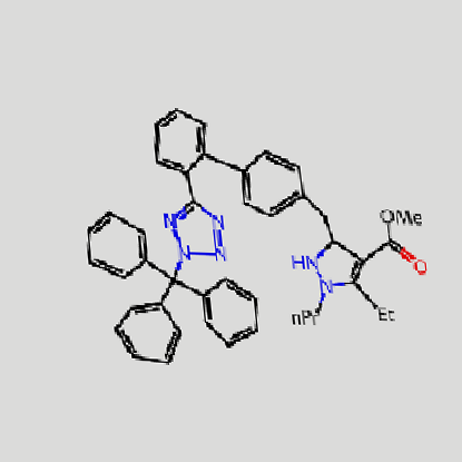 CCCN1NC(Cc2ccc(-c3ccccc3-c3nnn(C(c4ccccc4)(c4ccccc4)c4ccccc4)n3)cc2)C(C(=O)OC)=C1CC